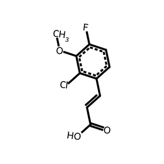 COc1c(F)ccc(C=CC(=O)O)c1Cl